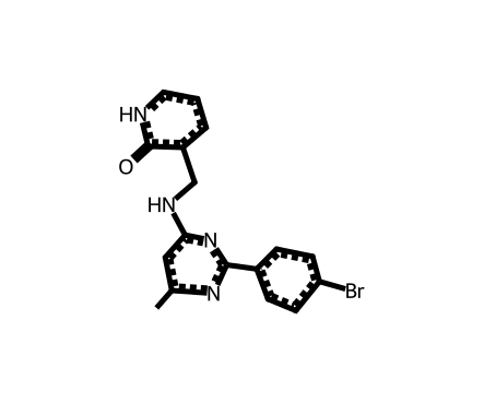 Cc1cc(NCc2ccc[nH]c2=O)nc(-c2ccc(Br)cc2)n1